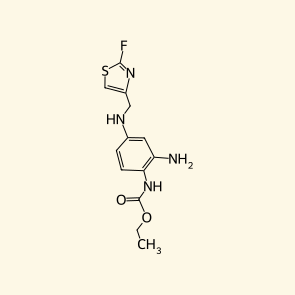 CCOC(=O)Nc1ccc(NCc2csc(F)n2)cc1N